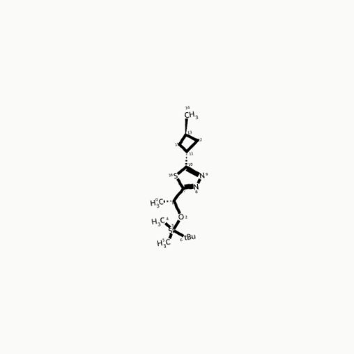 C[C@@H](O[Si](C)(C)C(C)(C)C)c1nnc([C@H]2C[C@H](C)C2)s1